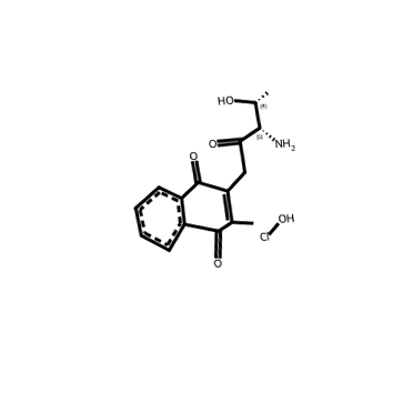 CC1=C(CC(=O)[C@@H](N)[C@@H](C)O)C(=O)c2ccccc2C1=O.OCl